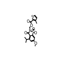 COc1cc(C(C)C)c2c(c1)S(=O)(=O)N(COC(=O)c1sccc1C)C2=O